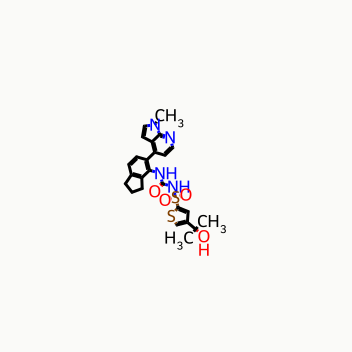 Cn1ccc2c(-c3ccc4c(c3NC(=O)NS(=O)(=O)c3cc(C(C)(C)O)cs3)CCC4)ccnc21